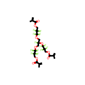 C=C(C)C(=O)OCC(F)(F)C(F)(F)OCC(F)(COC(F)(F)C(F)(F)COC(=O)C(=C)C)OC(F)(F)C(F)(F)COC(=O)C(=C)C